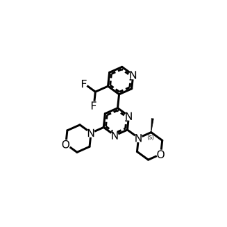 C[C@H]1COCCN1c1nc(-c2cnccc2C(F)F)cc(N2CCOCC2)n1